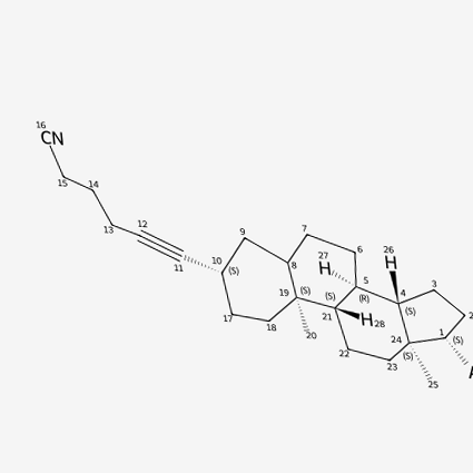 CC(=O)[C@H]1CC[C@H]2[C@@H]3CCC4C[C@@H](C#CCCCC#N)CC[C@]4(C)[C@H]3CC[C@]12C